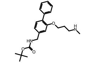 CNCCCOc1cc(CNC(=O)OC(C)(C)C)ccc1-c1ccccc1